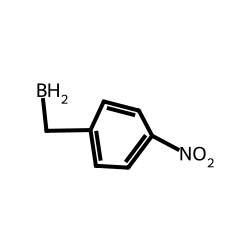 BCc1ccc([N+](=O)[O-])cc1